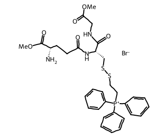 COC(=O)CNC(=O)[C@H](CSSCC[P+](c1ccccc1)(c1ccccc1)c1ccccc1)NC(=O)CC[C@H](N)C(=O)OC.[Br-]